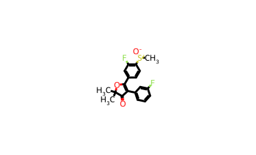 C[S+]([O-])c1ccc(C2=C(c3cccc(F)c3)C(=O)C(C)(C)O2)cc1F